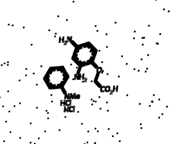 CNc1ccccc1.Cl.Cl.Nc1ccc(OCC(=O)O)c(N)c1